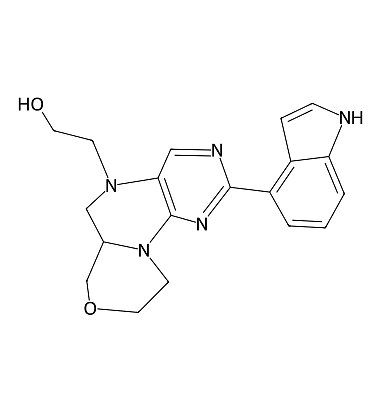 OCCN1CC2COCCN2c2nc(-c3cccc4[nH]ccc34)ncc21